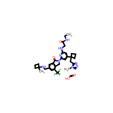 CCNC(=O)CNc1cc(C2(Cc3nncn3C)CCC2)cc(N2Cc3c(cc(CNC4(C)CCC4)cc3C(F)(F)F)C2=O)n1.O=CO